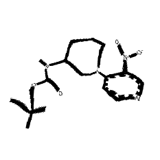 CN(C(=O)OC(C)(C)C)C1CCCN(c2ccncc2[N+](=O)[O-])C1